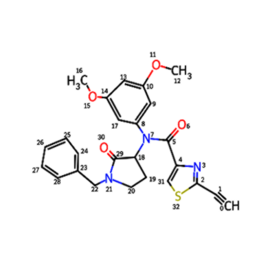 C#Cc1nc(C(=O)N(c2cc(OC)cc(OC)c2)C2CCN(Cc3ccccc3)C2=O)cs1